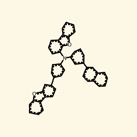 c1cc(-c2ccc3ccccc3c2)cc(N(c2ccc(-c3ccc4c(c3)oc3ccccc34)cc2)c2cccc3c2oc2ccccc23)c1